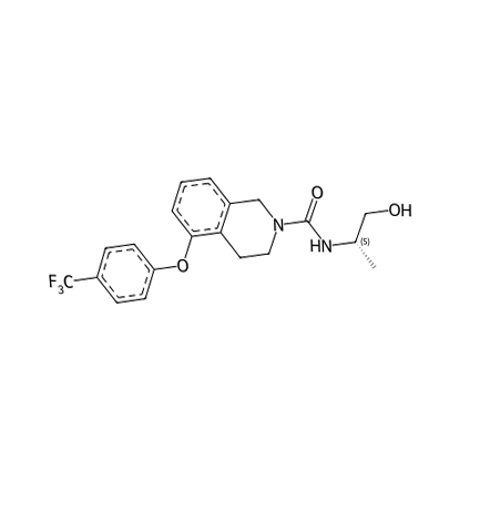 C[C@@H](CO)NC(=O)N1CCc2c(cccc2Oc2ccc(C(F)(F)F)cc2)C1